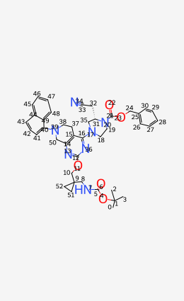 CC(C)(C)OC(=O)NCC1(COc2nc3c(c(N4CCN(C(=O)OCc5ccccc5)[C@@H](CC#N)C4)n2)CCN(c2cccc4ccccc24)C3)CC1